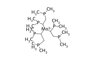 CP(C)C[CH](P(C)C)[Mo-3]([CH](CP(C)C)P(C)C)[CH](CP(C)C)P(C)C